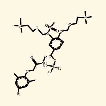 CC[Si](CC)(CC)O[C@H](CNC(=O)COc1c(C)cc(Br)cc1C)c1ccc(OCOCC[Si](C)(C)C)c(N(COCC[Si](C)(C)C)S(C)(=O)=O)c1